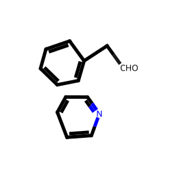 O=CCc1ccccc1.c1ccncc1